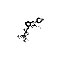 CC(C)(C)OC(=O)NCc1cccc(CN(C(N)=O)C2CCNCC2)c1